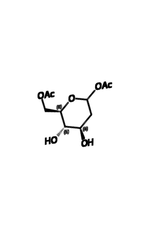 CC(=O)OC[C@H]1OC(OC(C)=O)C[C@@H](O)[C@@H]1O